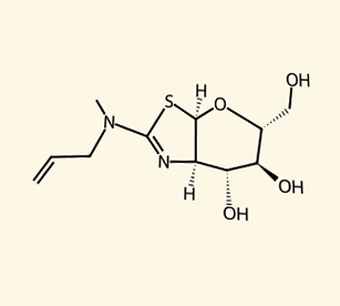 C=CCN(C)C1=N[C@@H]2[C@@H](O)[C@H](O)[C@@H](CO)O[C@@H]2S1